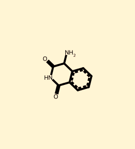 NC1C(=O)NC(=O)c2ccccc21